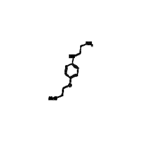 COCCOc1ccc(NCCN)cc1